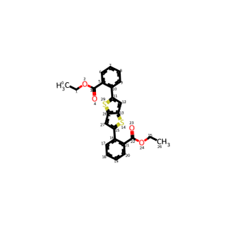 CCOC(=O)c1ccccc1-c1cc2sc(-c3ccccc3C(=O)OCC)cc2s1